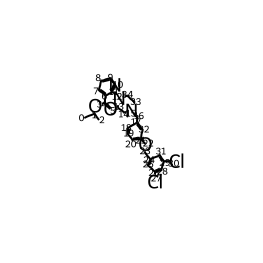 CC(C)OC(=O)c1cccnc1N1CCN(Cc2cccc(OCc3cc(Cl)cc(Cl)c3)c2)CC1